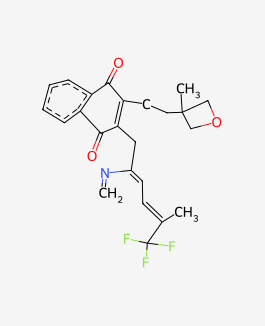 C=N/C(=C\C=C(/C)C(F)(F)F)CC1=C(CCC2(C)COC2)C(=O)c2ccccc2C1=O